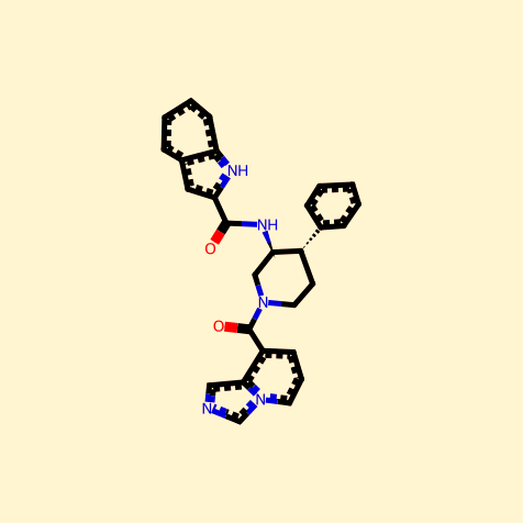 O=C(N[C@@H]1CN(C(=O)c2cccn3cncc23)CC[C@H]1c1ccccc1)c1cc2ccccc2[nH]1